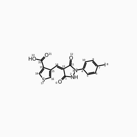 O=C1NN(c2ccc(I)cc2)C(=O)/C1=C/c1cscc1C(=O)O